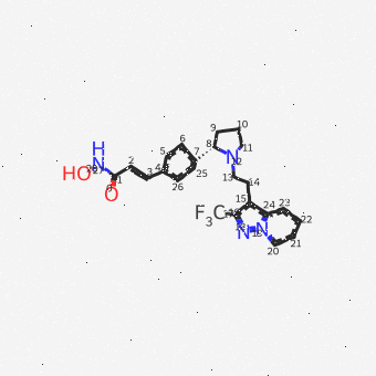 O=C(C=Cc1ccc([C@@H]2CCCN2CCc2c(C(F)(F)F)nn3ccccc23)cc1)NO